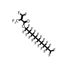 O=C(OC(F)(F)C(F)(F)C(F)(F)C(F)(F)C(F)(F)C(F)(F)C(F)(F)C(F)(F)C(F)F)C(=C(F)F)C(F)(F)F